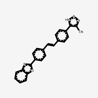 N#Cc1nn[nH]c1-c1ccc(/C=C/c2ccc(-c3nc4ccccc4o3)cc2)cc1